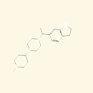 CC(c1ccc2c(c1)OCC2)N1CCN(C2CCN(C)CC2)CC1